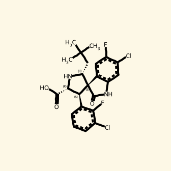 CC(C)(C)C[C@H]1N[C@@H](C(=O)O)[C@H](c2cccc(Cl)c2F)[C@@]12C(=O)Nc1cc(Cl)c(F)cc12